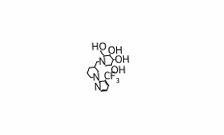 OCC1C(O)C(O)C(O)CN1CC1CCCN(c2ncccc2C(F)(F)F)C1